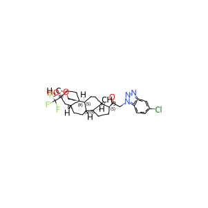 COC[C@]12CC[C@](O)(C(F)(F)F)C[C@H]1CC[C@H]1[C@@H]3CC[C@H](C(=O)Cn4nnc5cc(Cl)ccc54)[C@@]3(C)CC[C@@H]12